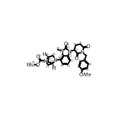 COc1ccc(CN2C(=O)CCC(n3c(=O)n(C)c4c(N5C[C@@H]6C[C@H]5CN6C(=O)OC(C)(C)C)cccc43)C2=O)cc1